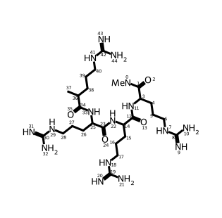 CNC(=O)C(CCCNC(=N)N)NC(=O)C(CCCNC(=N)N)NC(=O)C(CCCNC(=N)N)NC(=O)C(C)CCCNC(=N)N